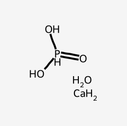 O.O=[PH](O)O.[CaH2]